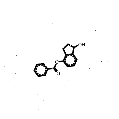 O=C(Oc1cccc2c1CCC2O)c1ccccc1